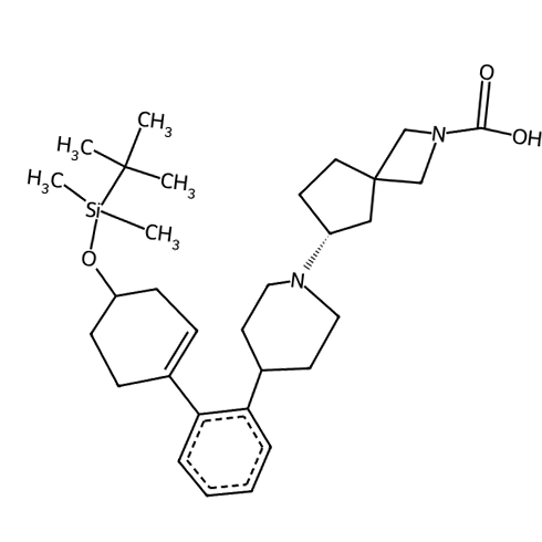 CC(C)(C)[Si](C)(C)OC1CC=C(c2ccccc2C2CCN([C@@H]3CCC4(C3)CN(C(=O)O)C4)CC2)CC1